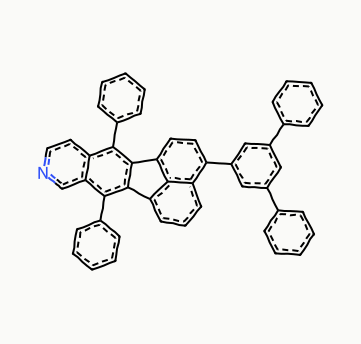 c1ccc(-c2cc(-c3ccccc3)cc(-c3ccc4c5c(cccc35)-c3c-4c(-c4ccccc4)c4ccncc4c3-c3ccccc3)c2)cc1